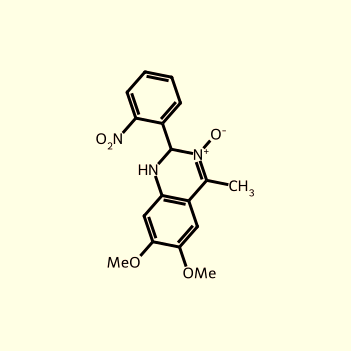 COc1cc2c(cc1OC)C(C)=[N+]([O-])C(c1ccccc1[N+](=O)[O-])N2